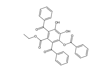 CCOC(=O)c1c(C(=O)c2ccccc2)c(O)c(O)c(OC(=O)c2ccccc2)c1C(=O)c1ccccc1